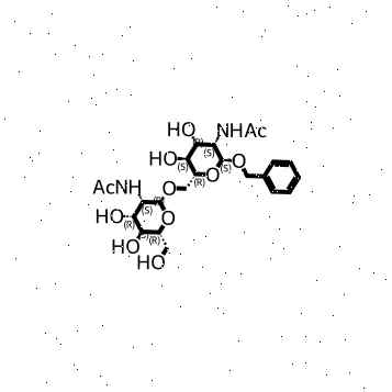 CC(=O)N[C@@H]1[C@H](OC[C@H]2O[C@H](OCc3ccccc3)[C@@H](NC(C)=O)[C@@H](O)[C@@H]2O)O[C@H](CO)[C@@H](O)[C@@H]1O